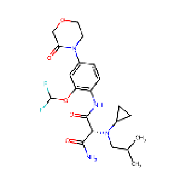 CC(C)CN(C1CC1)[C@H](C(N)=O)C(=O)Nc1ccc(N2CCOCC2=O)cc1OC(F)F